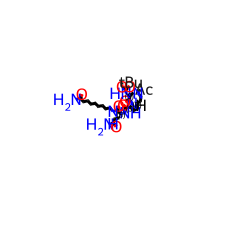 CC(=O)N1CC[C@H]2CC[C@@H](C(=O)N[C@@H](CCC(N)=O)C(=O)NCCCCCCCCC(N)=O)N2C(=O)[C@@H](NC(=O)OC(C)(C)C)C1